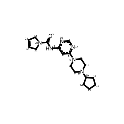 O=C(Nc1cc(N2CCN(C3CCCC3)CC2)ncn1)N1CC=CC1